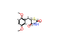 COc1ccc(OC)c(CC2SC(=O)NC2=O)c1